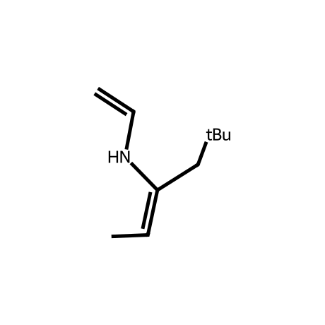 C=CN/C(=C\C)CC(C)(C)C